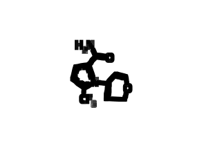 NC(=O)c1ccc(C(F)(F)F)n1C1=CCOC=C1